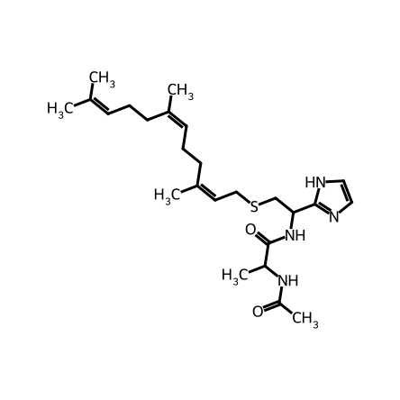 CC(=O)NC(C)C(=O)NC(CSCC=C(C)CCC=C(C)CCC=C(C)C)c1ncc[nH]1